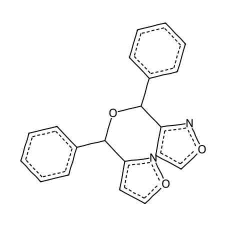 c1ccc(C(OC(c2ccccc2)c2ccon2)c2ccon2)cc1